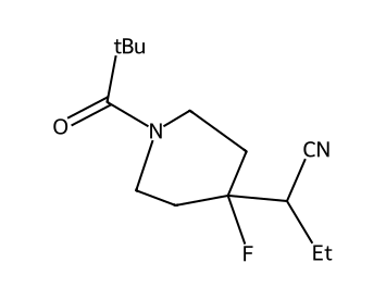 CCC(C#N)C1(F)CCN(C(=O)C(C)(C)C)CC1